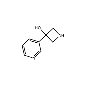 OC1(c2cccnc2)CNC1